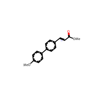 COC(=O)/C=C/c1ccc(-c2ccc(OC)cc2)cc1